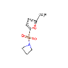 O=C(O)c1ccc(S(=O)(=O)N2CCC2)o1